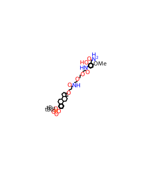 COc1ccc(NC(=O)COCCOCCNC(=O)CCO[C@@H]2CCC3C4CCc5cc(OP(=O)(OC(C)(C)C)OC(C)(C)C)ccc5C4CCC32C)c(O)c1C(N)=O